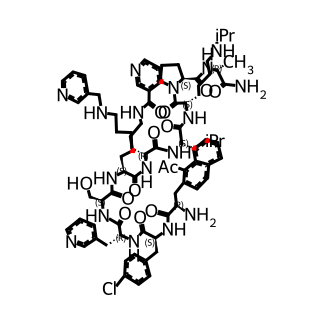 CC(=O)c1c(C[C@@H](N)C(=O)N[C@@H](Cc2ccc(Cl)cc2)C(=O)N[C@H](Cc2cccnc2)C(=O)N[C@@H](CO)C(=O)N[C@@H](CCCCNC(=O)c2cccnc2)C(=O)N[C@H](CCCCNCc2cccnc2)C(=O)N[C@@H](CC(C)C)C(=O)N[C@@H](CCCCNC(C)C)C(=O)N2CCC[C@H]2C(=O)N[C@H](C)C(N)=O)ccc2ccccc12